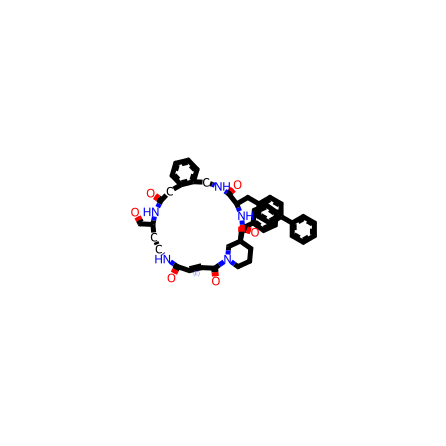 O=CC1CCNC(=O)/C=C/C(=O)N2CCCC(Cc3ccccc3)(C2)C(=O)NC(Cc2ccc(-c3ccccc3)cc2)C(=O)NCc2ccccc2CC(=O)N1